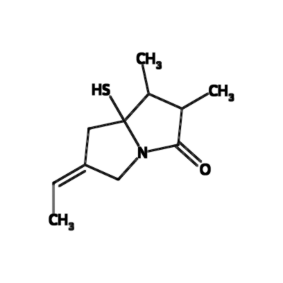 C/C=C1\CN2C(=O)C(C)C(C)C2(S)C1